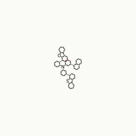 c1cc(-c2cccc3ccccc23)cc(N(c2cccc(-c3cccc4c3sc3ccccc34)c2)c2ccccc2-c2cccc3c2oc2ccccc23)c1